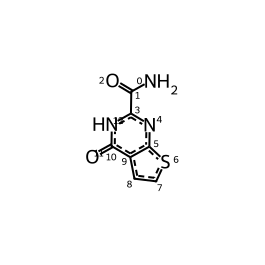 NC(=O)c1nc2sccc2c(=O)[nH]1